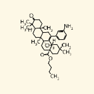 CCCCOC(=O)[C@]12CCC(C)(C)C[C@H]1C1=C(c3cccc(N)c3)CC3[C@@]4(C)CCC(=O)C(C)(C)[C@@H]4CC[C@@]3(C)[C@]1(C)CC2